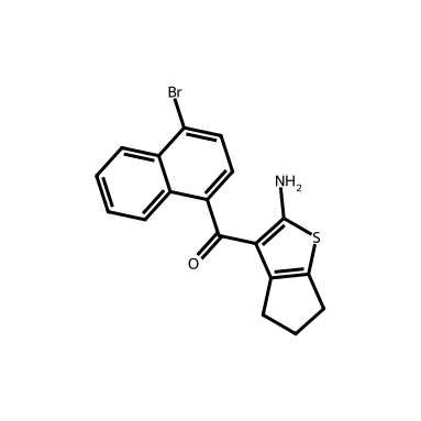 Nc1sc2c(c1C(=O)c1ccc(Br)c3ccccc13)CCC2